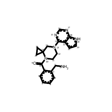 NCc1ccccc1C(=O)N1CCN(c2ncnc3[nH]ccc23)CC12CC2